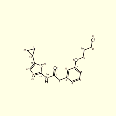 O=C(Cc1cccc(OCCCCl)c1)Nc1ncc(C2CC2)s1